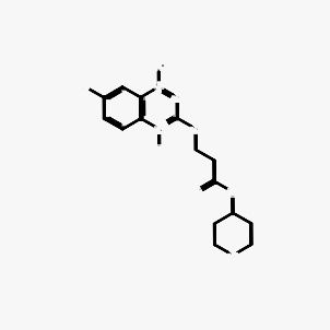 O=C(CCNc1n[n+](O)c2cc(Br)ccc2[n+]1[O-])OC1CCNCC1